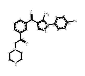 Nc1c(C(=O)c2cccc(C(=O)CN3CCOCC3)c2)cnn1-c1ccc(F)cc1